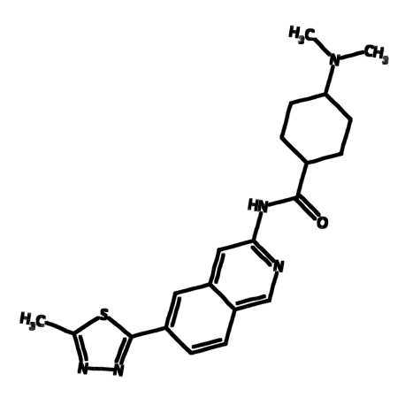 Cc1nnc(-c2ccc3cnc(NC(=O)C4CCC(N(C)C)CC4)cc3c2)s1